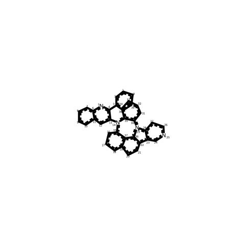 c1ccc(-c2nc3ccccc3cc2-n2c3cccc4ccc5c6cnccc6n(c6ccccc62)c5c43)cc1